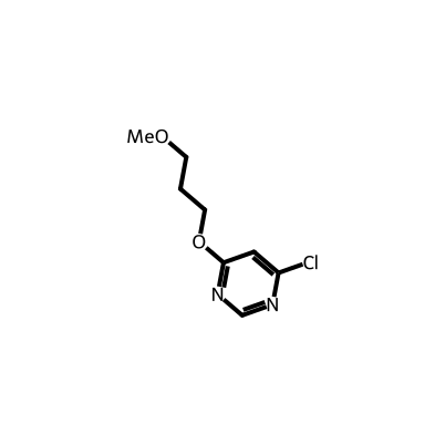 COCCCOc1cc(Cl)ncn1